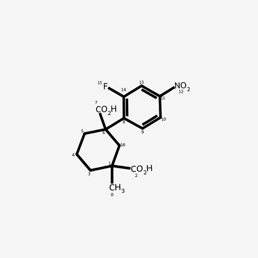 CC1(C(=O)O)CCCC(C(=O)O)(c2ccc([N+](=O)[O-])cc2F)C1